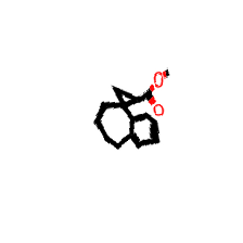 COC(=O)C1CC12CCCCc1ccccc12